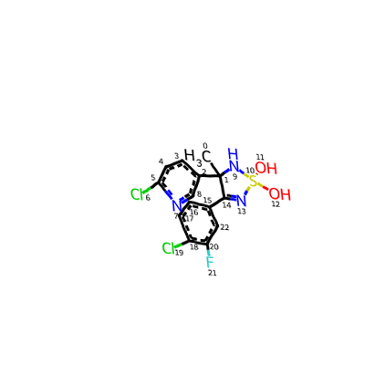 CC1(c2ccc(Cl)nc2)NS(O)(O)N=C1c1ccc(Cl)c(F)c1